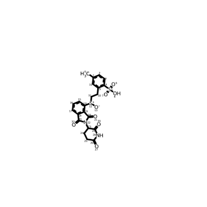 Cc1ccc(S(=O)(=O)O)c(CC[S+]([O-])c2cccc3c2C(=O)N(C2CCC(=O)NC2=O)C3=O)c1